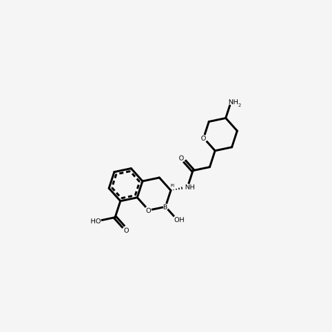 NC1CCC(CC(=O)N[C@H]2Cc3cccc(C(=O)O)c3OB2O)OC1